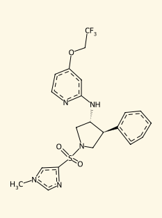 Cn1cnc(S(=O)(=O)N2C[C@H](Nc3cc(OCC(F)(F)F)ccn3)[C@@H](c3ccccc3)C2)c1